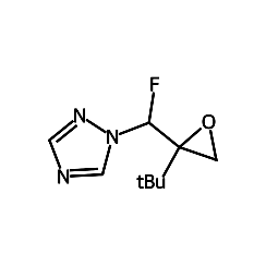 CC(C)(C)C1(C(F)n2cncn2)CO1